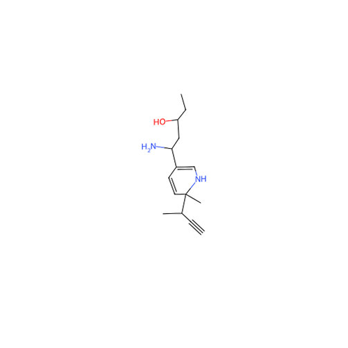 C#CC(C)C1(C)C=CC(C(N)CC(O)CC)=CN1